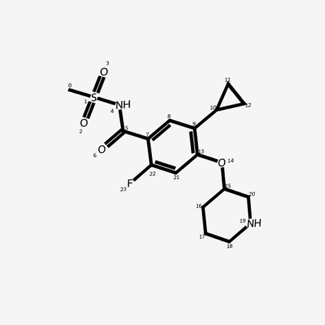 CS(=O)(=O)NC(=O)c1cc(C2CC2)c(OC2CCCNC2)cc1F